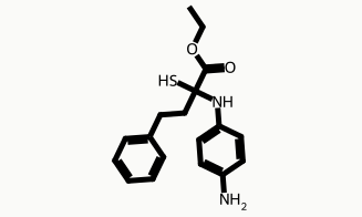 CCOC(=O)C(S)(CCc1ccccc1)Nc1ccc(N)cc1